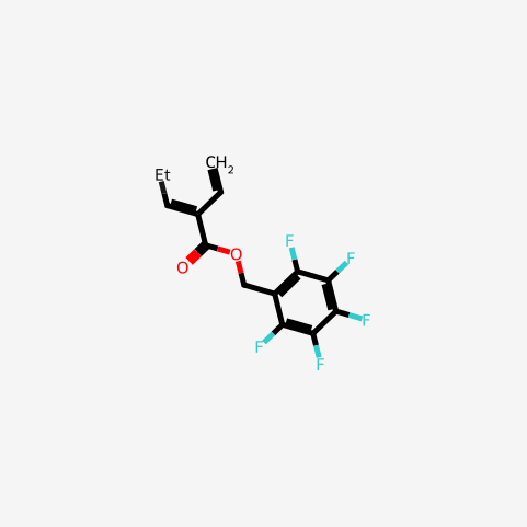 C=C/C(=C\CC)C(=O)OCc1c(F)c(F)c(F)c(F)c1F